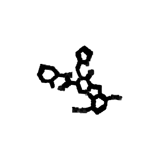 COc1ccc(OC)c2c1cc1c(=O)n(Cc3cccs3)c(C(=O)NC3CCCCC3C)cn12